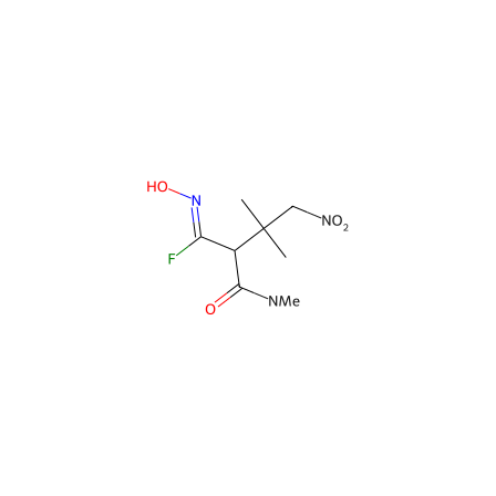 CNC(=O)C(C(F)=NO)C(C)(C)C[N+](=O)[O-]